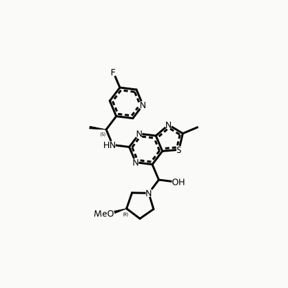 CO[C@@H]1CCN(C(O)c2nc(N[C@@H](C)c3cncc(F)c3)nc3nc(C)sc23)C1